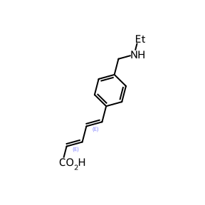 CCNCc1ccc(/C=C/C=C/C(=O)O)cc1